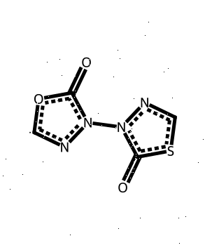 O=c1o[c]nn1-n1ncsc1=O